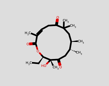 CC[C@H]1OC(=O)/C(C)=C\CC(=O)C(C)(C)C[C@@H](C)[C@H](C)CC(=O)[C@]1(C)O